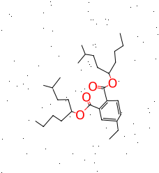 CCCCC(CCC(C)C)OC(=O)c1ccc(CC)cc1C(=O)OC(CCCC)CCC(C)C